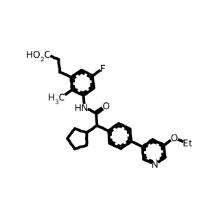 CCOc1cncc(-c2ccc(C(C(=O)Nc3cc(F)cc(CCC(=O)O)c3C)C3CCCC3)cc2)c1